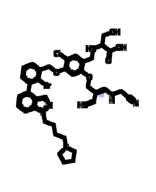 N#CCN/C=C(\C=N)COc1cc(OCc2cccc(-c3cccc4c3cnn4CCCCN3CCCC3)c2Br)c(Cl)cc1CNC(CO)C(=O)O